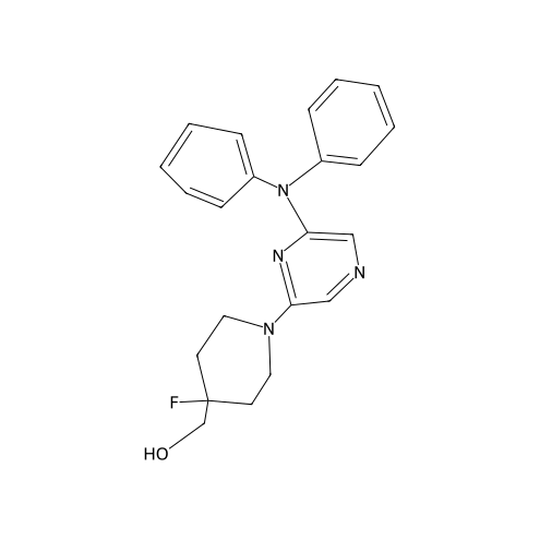 OCC1(F)CCN(c2cncc(N(c3ccccc3)c3ccccc3)n2)CC1